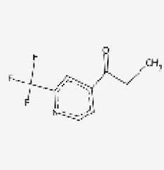 CCC(=O)c1ccnc(C(F)(F)F)c1